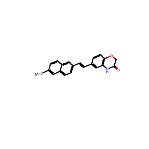 COc1ccc2cc(C=Cc3ccc4c(c3)NC(=O)CO4)ccc2c1